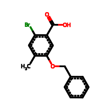 Cc1cc(Br)c(C(=O)O)cc1OCc1ccccc1